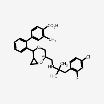 Cc1cc(-c2ccccc2C(OC[C@H](O)CNC(C)(C)Cc2ccc(Cl)cc2F)C2CC2)ccc1C(=O)O